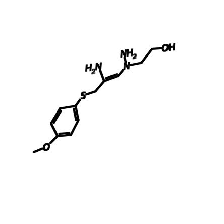 COc1ccc(SC/C(N)=C/N(N)CCO)cc1